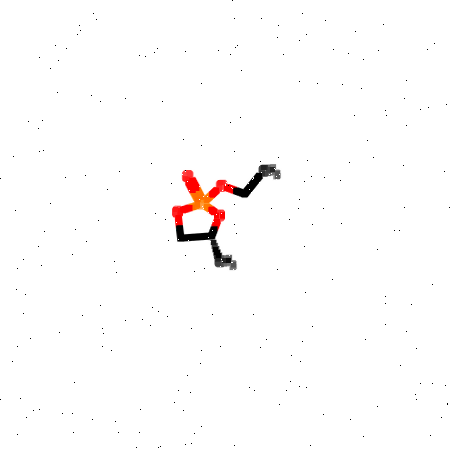 CCOP1(=O)OC[C@@H](C)O1